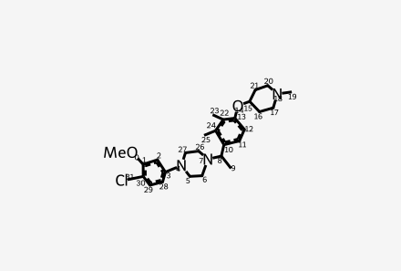 COc1cc(N2CCN(C(C)c3ccc(OC4CCN(C)CC4)c(C)c3C)CC2)ccc1Cl